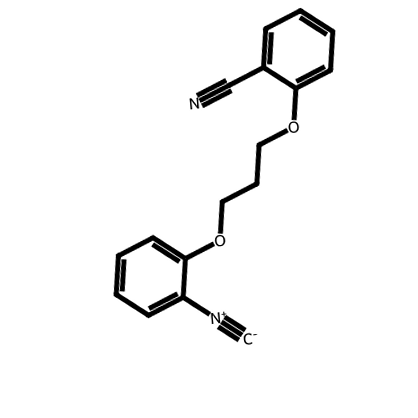 [C-]#[N+]c1ccccc1OCCCOc1ccccc1C#N